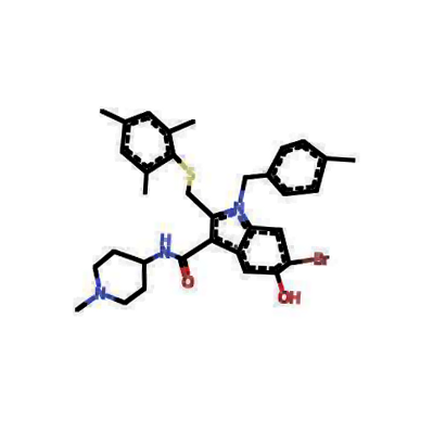 Cc1ccc(Cn2c(CSc3c(C)cc(C)cc3C)c(C(=O)NC3CCN(C)CC3)c3cc(O)c(Br)cc32)cc1